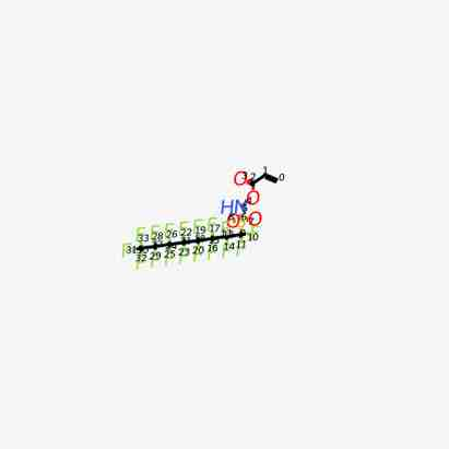 C=CC(=O)ONS(=O)(=O)C(F)(F)C(F)(F)C(F)(F)C(F)(F)C(F)(F)C(F)(F)C(F)(F)C(F)(F)F